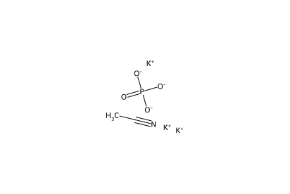 CC#N.O=P([O-])([O-])[O-].[K+].[K+].[K+]